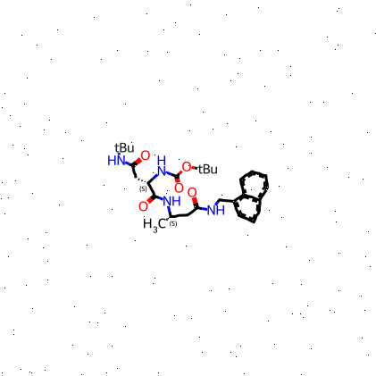 C[C@@H](CC(=O)NCc1cccc2ccccc12)NC(=O)[C@H](CC(=O)NC(C)(C)C)NC(=O)OC(C)(C)C